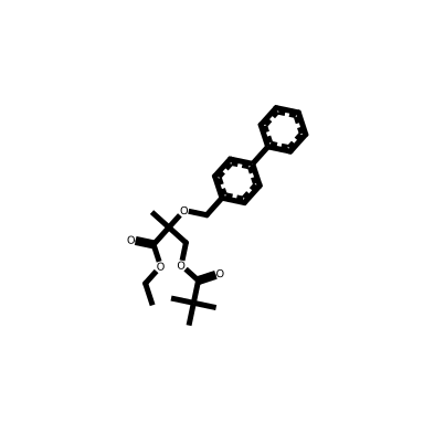 CCOC(=O)C(C)(COC(=O)C(C)(C)C)OCc1ccc(-c2ccccc2)cc1